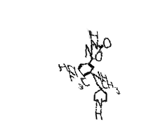 CC1(CNc2cc(-c3n[nH]c(=O)o3)ccc2C(F)(F)F)CCNCC1.Cl